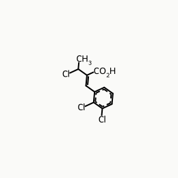 CC(Cl)/C(=C/c1cccc(Cl)c1Cl)C(=O)O